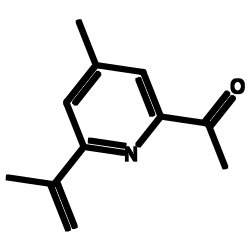 C=C(C)c1cc(C)cc(C(C)=O)n1